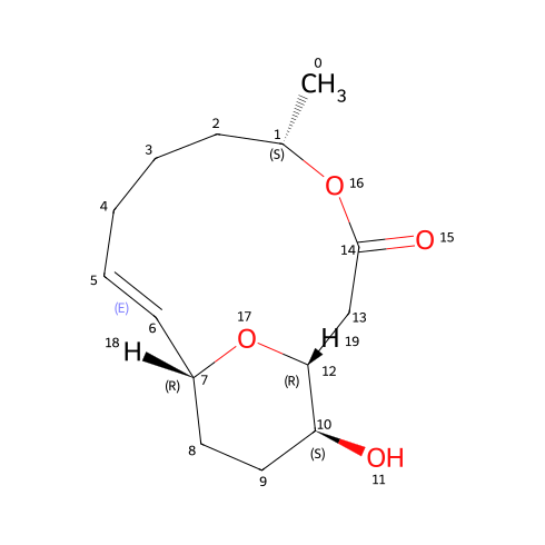 C[C@H]1CCC/C=C/[C@H]2CC[C@H](O)[C@@H](CC(=O)O1)O2